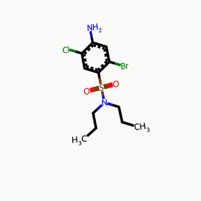 CCCN(CCC)S(=O)(=O)c1cc(Cl)c(N)cc1Br